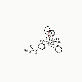 Cc1nnc(C(C)C)n1C1CC2CCC(C1)N2CC[C@@H](c1ccc(NC(=O)OC(C)(C)C)cc1)N(Cc1ccccc1)[C@H](C)c1ccccc1